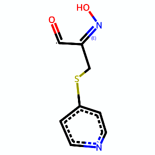 O=[C]/C(CSc1ccncc1)=N\O